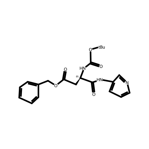 CC(C)(C)OC(=O)N[C@H](CC(=O)OCc1ccccc1)C(=O)Nc1cccnc1